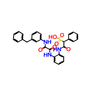 O=C(Nc1cccc(Cc2ccccc2)c1)C(=O)Nc1ccccc1NC(=O)C(c1ccccc1)S(=O)(=O)O